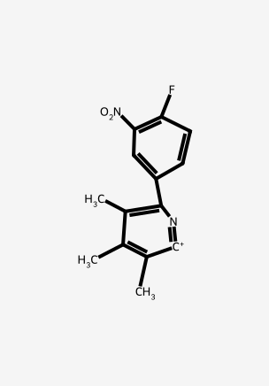 CC1=C(C)C(C)=C(c2ccc(F)c([N+](=O)[O-])c2)N=[C+]1